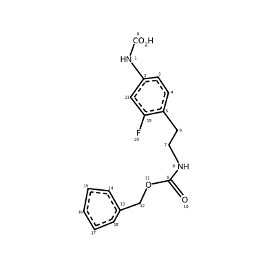 O=C(O)Nc1ccc(CCNC(=O)OCc2ccccc2)c(F)c1